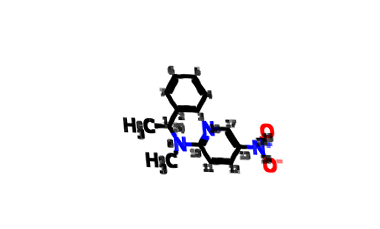 C[C@@H](c1ccccc1)N(C)c1ccc([N+](=O)[O-])cn1